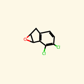 Clc1ccc2c(c1Cl)C1OC1C2